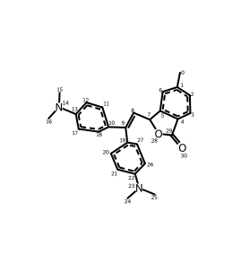 Cc1ccc2c(c1)C(C=C(c1ccc(N(C)C)cc1)c1ccc(N(C)C)cc1)OC2=O